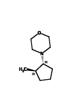 C[C@@H]1CCC[C@H]1N1CCOCC1